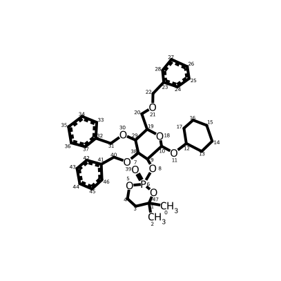 CC1(C)CCOP(=O)(OC2C(OC3CCCCC3)OC(COCc3ccccc3)C(OCc3ccccc3)C2OCc2ccccc2)O1